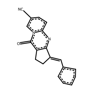 N#Cc1ccc2nc3c(c(=O)n2c1)CCC3=Cc1ccccc1